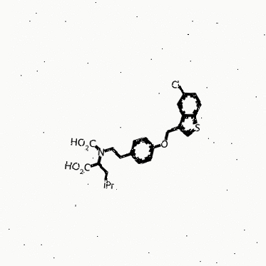 CC(C)CC(C(=O)O)N(CCc1ccc(OCc2csc3ccc(Cl)cc23)cc1)C(=O)O